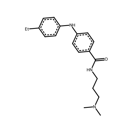 CCc1ccc(Nc2ccc(C(=O)NCCCN(C)C)cc2)cc1